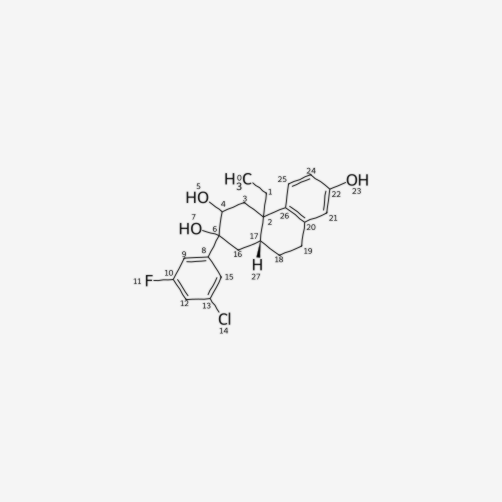 CCC12CC(O)C(O)(c3cc(F)cc(Cl)c3)C[C@H]1CCc1cc(O)ccc12